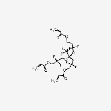 C=CC(=O)OCCC(F)(F)OC(CC(F)(F)COC(=O)C=C)(OCC(F)(F)COC(=O)C=C)C(F)(F)F